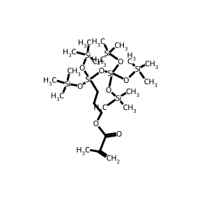 C=C(C)C(=O)OCCC[Si](O[Si](C)(C)C)(O[Si](C)(C)C)O[Si](O[Si](C)(C)C)(O[Si](C)(C)C)O[Si](C)(C)C